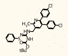 Cc1nc(-c2ccc(Cl)cc2)c(-c2ccc(Cl)cc2)cc1CN/C(=N/Sc1ccccc1)NC(=O)OC(C)(C)C